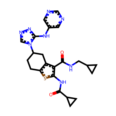 O=C(NCC1CC1)c1c(NC(=O)C2CC2)sc2c1CC(n1cnnc1Nc1cncnc1)CC2